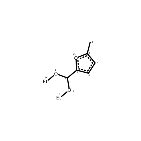 CCOC(OCC)c1ccc(C)o1